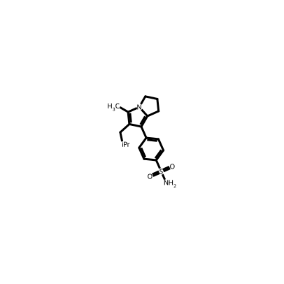 Cc1c(CC(C)C)c(-c2ccc(S(N)(=O)=O)cc2)c2n1CCC2